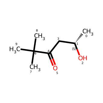 C[C@H](O)CC(=O)C(C)(C)C